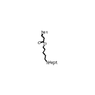 CCCCCCCCCCCCOC(=O)CC=N